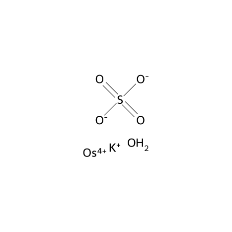 O.O=S(=O)([O-])[O-].[K+].[Os+4]